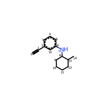 C#Cc1cccc(NC2CCC[CH]C2C)c1